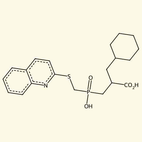 O=C(O)C(CC1CCCCC1)CP(=O)(O)CSc1ccc2ccccc2n1